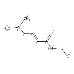 CC(C)CNC(=O)/C=C/CN(C)C